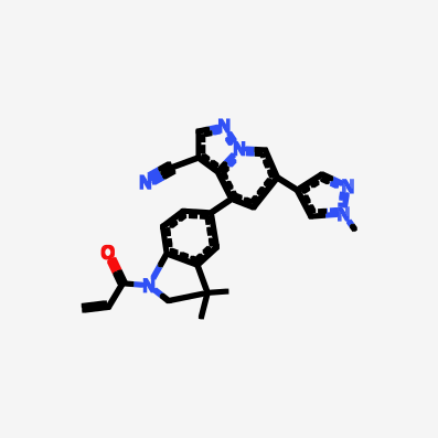 C=CC(=O)N1CC(C)(C)c2cc(-c3cc(-c4cnn(C)c4)cn4ncc(C#N)c34)ccc21